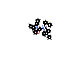 CC(/N=C(\N=C\c1cccc2sc3ccccc3c12)c1cc(-n2c3cc4ccccc4cc3c3c4ccccc4ccc32)c2c(c1)oc1ccccc12)c1cccc2c1-c1ccccc1[C@H]2c1ccccc1